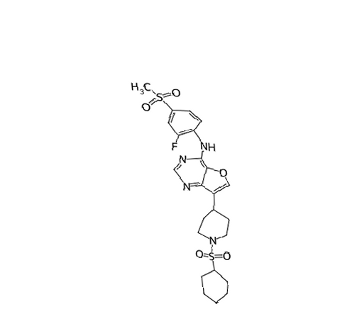 CS(=O)(=O)c1ccc(Nc2ncnc3c(C4CCN(S(=O)(=O)C5CCCCC5)CC4)coc23)c(F)c1